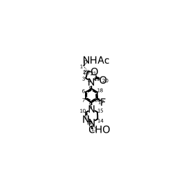 CC(=O)NC[C@H]1CN(c2ccc(N3C=NN(C=O)CC3)c(F)c2)C(=O)O1